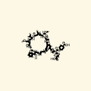 CNC(=O)C[C@@H]1NC(=O)c2csc(n2)-c2ccc(-c3nc(N(C(=O)O[C@H]4CC[C@H](C(=O)O)CC4)c4ncc(C(=O)O)o4)cs3)nc2-c2csc(n2)-c2csc(n2)[C@H]([C@@H](O)c2ccccc2)NC(=O)CNC(=O)c2nc(sc2COC)C(C(C)C)NC(=O)c2nc1sc2C